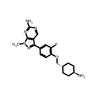 Cn1nc(-c2ccc(OC[C@H]3CC[C@H](N)CC3)c(F)c2)c2cnc(N)nc21